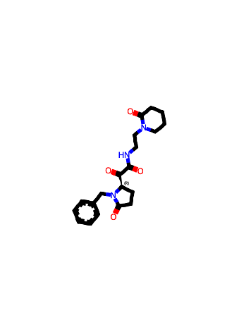 O=C(NCCN1CCCCC1=O)C(=O)[C@H]1CCC(=O)N1Cc1ccccc1